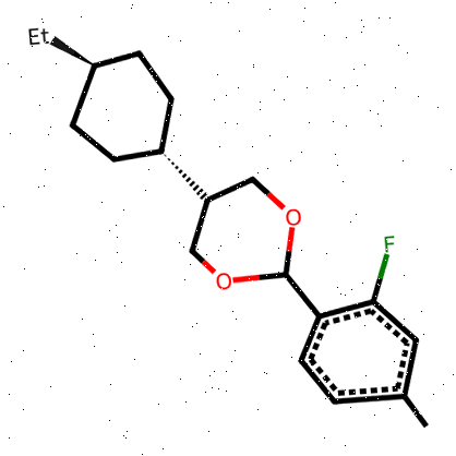 CC[C@H]1CC[C@H](C2COC(c3ccc(C)cc3F)OC2)CC1